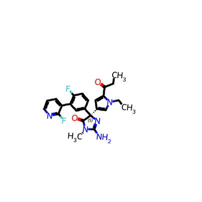 CCC(=O)c1cc([C@]2(c3ccc(F)c(-c4cccnc4F)c3)N=C(N)N(C)C2=O)cn1CC